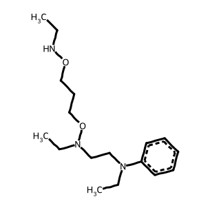 CCNOCCCON(CC)CCN(CC)c1ccccc1